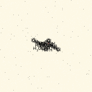 CC(C)[C@H](NC(=O)N1CCN(c2ccccc2)CC1)C(=O)N[C@@H](Cc1ccccc1)[C@@H](O)[C@H](O)[C@H](Cc1ccccc1)NC(=O)[C@@H](NC(=O)N1CCN(c2ccccc2)CC1)C(C)C